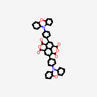 O=C1OC(=O)c2c(-c3ccc(N4c5ccccc5Oc5ccccc54)cc3)cc3c4c(c(-c5ccc(N6c7ccccc7Oc7ccccc76)cc5)cc1c24)C(=O)OC3=O